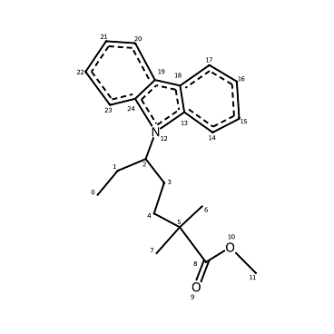 CCC(CCC(C)(C)C(=O)OC)n1c2ccccc2c2ccccc21